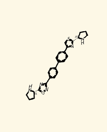 c1cc(-c2csc([C@@H]3CCCN3)n2)ccc1-c1ccc(-c2noc([C@@H]3CCCN3)n2)cc1